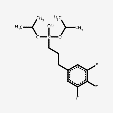 CC(C)O[Si](O)(CCCc1cc(F)c(F)c(F)c1)OC(C)C